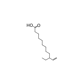 C=CC(CC)CCCCCCCCC(=O)O